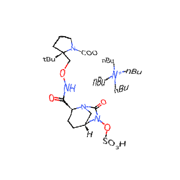 CC(C)(C)[C@@]1(CONC(=O)[C@@H]2CC[C@@H]3CN2C(=O)N3OS(=O)(=O)O)CCCN1C(=O)[O-].CCCC[N+](CCCC)(CCCC)CCCC